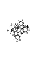 Cc1cccc(C)c1Nc1c(-c2c(OCC(N)=O)ccc3ccccc23)nc2ccc(F)cn12